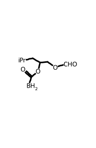 BC(=O)OC(COC=O)CC(C)C